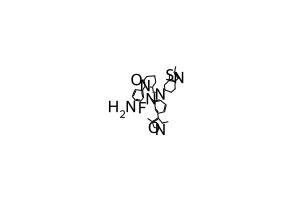 Cc1nc2c(s1)CC(n1c(C3CCCC(=O)N3c3ccc(N)c(F)c3)nc3cc(-c4c(C)noc4C)ccc31)CC2